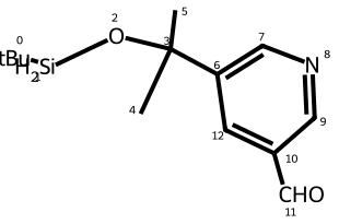 CC(C)(C)[SiH2]OC(C)(C)c1cncc(C=O)c1